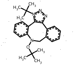 CC(C)(C)ON1Cc2ccccc2-c2nnn(C(C)(C)C)c2-c2ccccc21